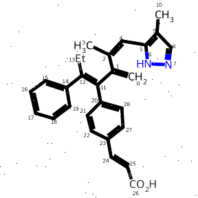 C=C(/C(C)=C\c1[nH]ncc1C)/C(=C(\CC)c1ccccc1)c1ccc(/C=C/C(=O)O)cc1